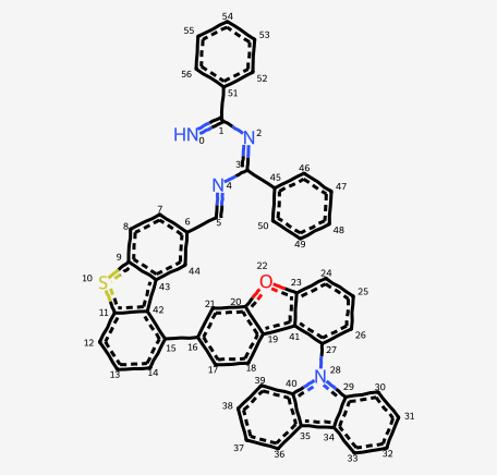 N=C(/N=C(\N=C\c1ccc2sc3cccc(-c4ccc5c(c4)oc4cccc(-n6c7ccccc7c7ccccc76)c45)c3c2c1)c1ccccc1)c1ccccc1